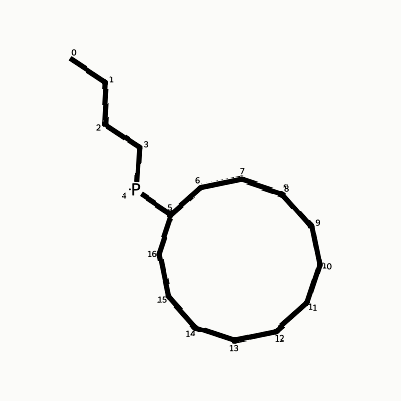 CCCC[P]C1CCCCCCCCCCC1